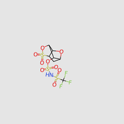 O=S(=O)(NS(=O)(=O)C(F)(F)F)OC1C2CC3C(O2)C1OS3(=O)=O